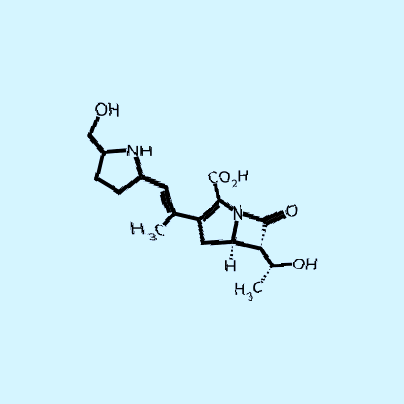 C/C(=C\C1CCC(CO)N1)C1=C(C(=O)O)N2C(=O)[C@H]([C@@H](C)O)[C@H]2C1